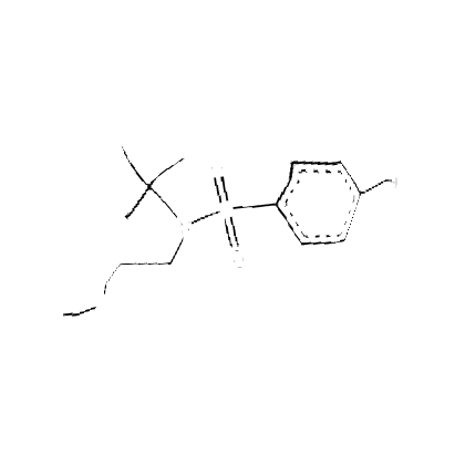 COCCN(C(C)(C)C)S(=O)(=O)c1ccc(I)cc1